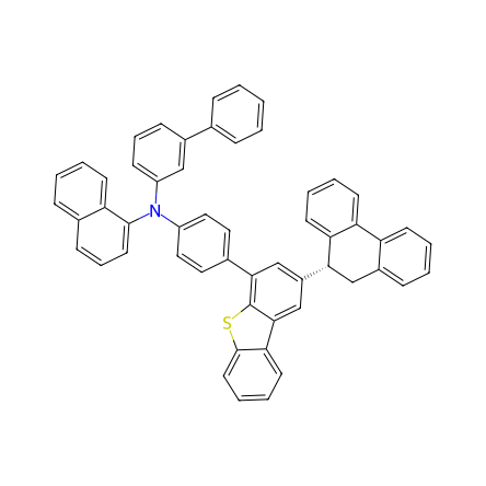 c1ccc(-c2cccc(N(c3ccc(-c4cc([C@H]5Cc6ccccc6-c6ccccc65)cc5c4sc4ccccc45)cc3)c3cccc4ccccc34)c2)cc1